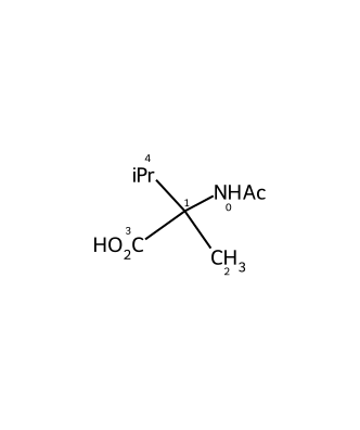 CC(=O)NC(C)(C(=O)O)C(C)C